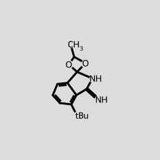 CC1OC2(NC(=N)c3c(C(C)(C)C)cccc32)O1